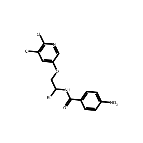 [CH2]CC(COc1cnc(Cl)c(Cl)c1)NC(=O)c1ccc([N+](=O)[O-])cc1